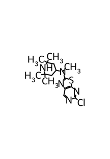 CN(c1nc2cnc(Cl)nc2s1)C1CC(C)(C)NC(C)(C)C1